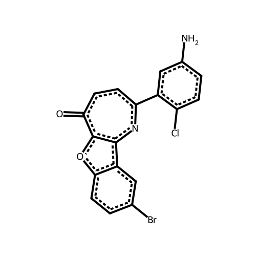 Nc1ccc(Cl)c(-c2ccc(=O)c3oc4ccc(Br)cc4c3n2)c1